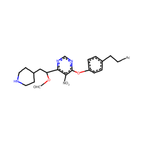 CC(=O)CCc1ccc(Oc2ncnc(C(CC3CCNCC3)OC=O)c2[N+](=O)[O-])cc1